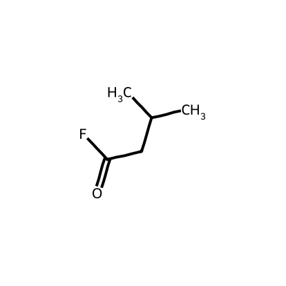 CC(C)CC(=O)F